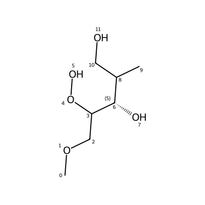 COCC(OO)[C@@H](O)C(C)CO